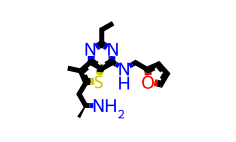 CCc1nc(NCc2ccco2)c2sc(C[C@H](C)N)c(C)c2n1